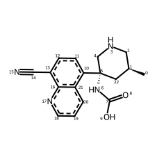 C[C@@H]1CNC[C@](NC(=O)O)(c2ccc(C#N)c3ncccc23)C1